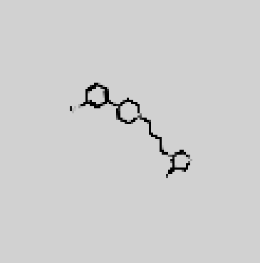 Cc1cccc(N2CCN(CCCCN3CSCC3=O)CC2)c1